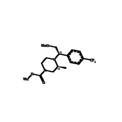 COC[C@@H](c1ccc(C(F)(F)F)cc1)N1CCN(C(=O)OC(C)(C)C)C[C@@H]1C